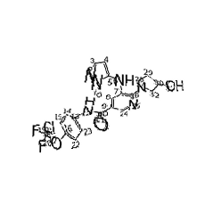 Cn1nccc1Nc1cc(C(=O)Nc2ccc(OC(F)(F)Cl)cc2)cnc1N1CCC(O)C1